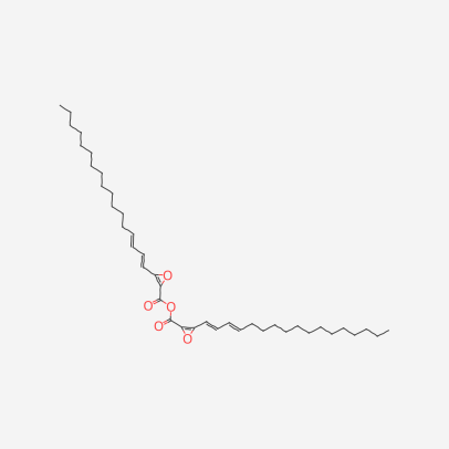 CCCCCCCCCCCCCC=CC=CC1=C(C(=O)OC(=O)C2=C(C=CC=CCCCCCCCCCCCCC)O2)O1